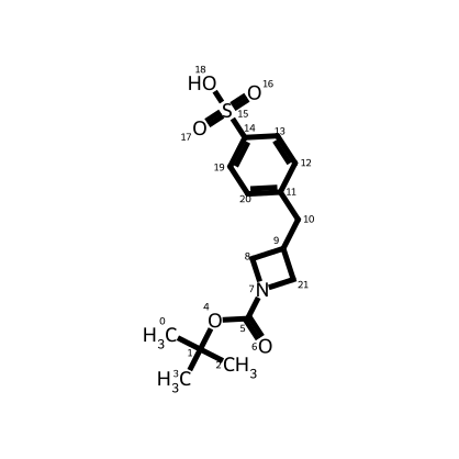 CC(C)(C)OC(=O)N1CC(Cc2ccc(S(=O)(=O)O)cc2)C1